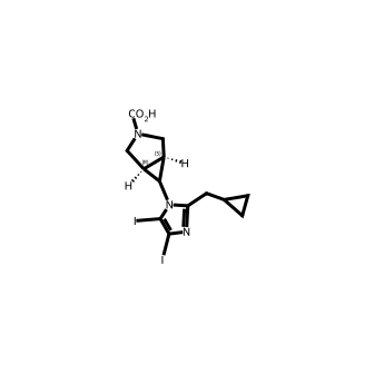 O=C(O)N1C[C@@H]2C(n3c(CC4CC4)nc(I)c3I)[C@@H]2C1